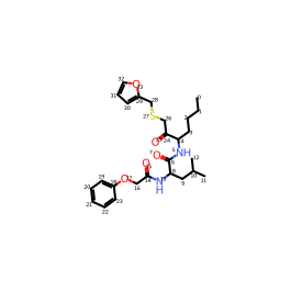 CCCCC(NC(=O)C(CC(C)C)NC(=O)COc1ccccc1)C(=O)CSCc1ccco1